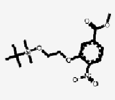 COC(=O)c1ccc([N+](=O)[O-])c(OCCO[Si](C)(C)C(C)(C)C)c1